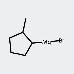 CC1CCC[CH]1[Mg][Br]